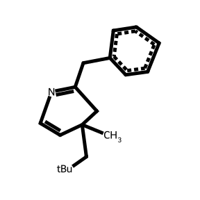 CC(C)(C)CC1(C)C=CN=C(Cc2ccccc2)C1